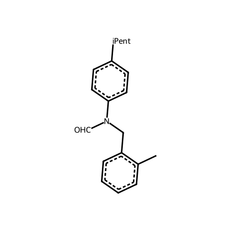 CCCC(C)c1ccc(N(C=O)Cc2ccccc2C)cc1